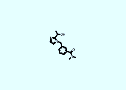 CC(O)c1nccn1Cc1cccc(C(=O)N(C)C)c1